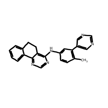 Cc1ccc(Nc2ncnc3c2CCc2ccccc2-3)cc1-c1cncnc1